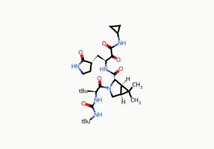 CC(C)(C)NC(=O)N[C@H](C(=O)N1C[C@H]2[C@@H]([C@H]1C(=O)N[C@@H](C[C@@H]1CCNC1=O)C(=O)C(=O)NC1CC1)C2(C)C)C(C)(C)C